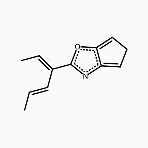 CC=C/C(=C\C)c1nc2c(o1)=CCC=2